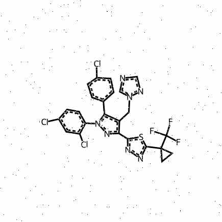 FC(F)(F)C1(c2nnc(-c3nn(-c4ccc(Cl)cc4Cl)c(-c4ccc(Cl)cc4)c3Cn3cncn3)s2)CC1